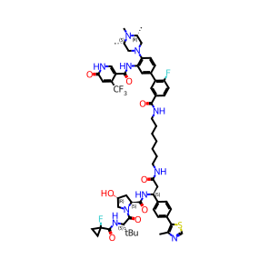 Cc1ncsc1-c1ccc([C@H](CC(=O)NCCCCCCCNC(=O)c2ccc(F)c(-c3ccc(N4C[C@@H](C)N(C)[C@@H](C)C4)c(NC(=O)c4c[nH]c(=O)cc4C(F)(F)F)c3)c2)NC(=O)[C@@H]2C[C@@H](O)CN2C(=O)[C@@H](NC(=O)C2(F)CC2)C(C)(C)C)cc1